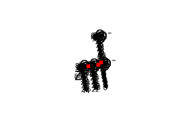 CCCCCCCCCCCCc1ccccc1S(=O)(=O)[O-].CCCCCCCCCCCCc1ccccc1S(=O)(=O)[O-].CCCCCCCCCCCCc1ccccc1S(=O)(=O)[O-].CCCCCCCCCCCCc1ccccc1S(=O)(=O)[O-].[Zr+4]